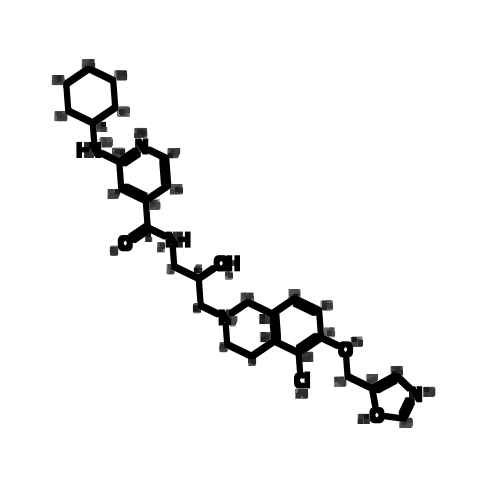 O=C(NCC(O)CN1CCc2c(ccc(OCc3cnco3)c2Cl)C1)c1ccnc(NC2CCCCC2)c1